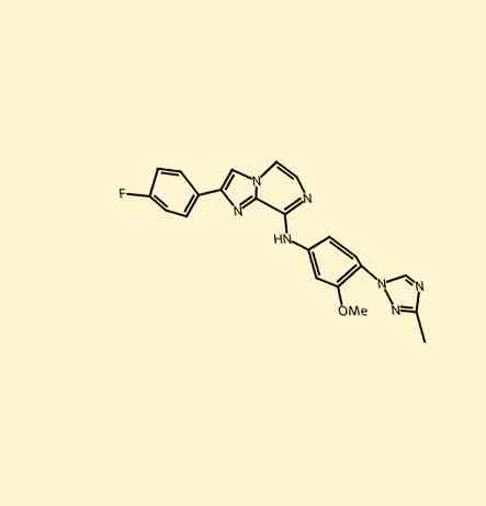 COc1cc(Nc2nccn3cc(-c4ccc(F)cc4)nc23)ccc1-n1cnc(C)n1